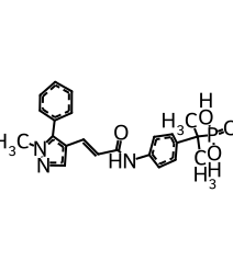 Cn1ncc(C=CC(=O)Nc2ccc(C(C)(C)P(=O)(O)O)cc2)c1-c1ccccc1